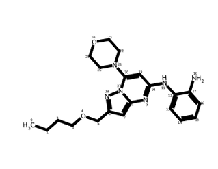 CCCCOCc1cc2nc(Nc3ccccc3N)cc(N3CCOCC3)n2n1